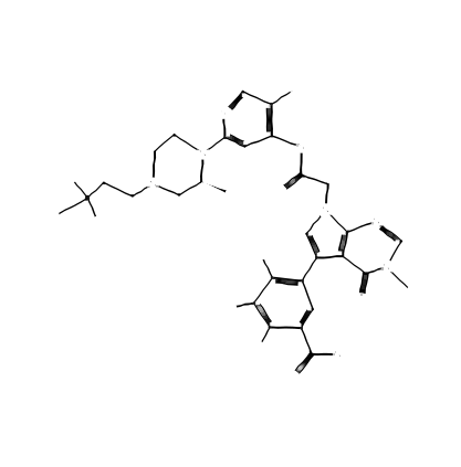 C[C@H]1CN(CCC(F)(F)F)CCN1c1cc(NC(=O)Cn2cc(-c3cc(C(N)=O)c(O)c(F)c3F)c3c(=O)n(C)cnc32)c(Cl)cn1